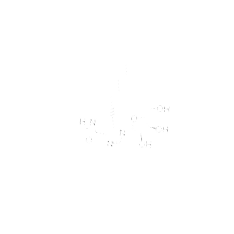 CCCCCC#Cc1c(C(N)=O)ncn1C1O[C@H](CO)[C@@H](O)[C@H]1O